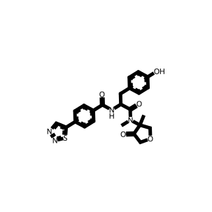 CN(C(=O)C(Cc1ccc(O)cc1)NC(=O)c1ccc(-c2cnns2)cc1)C1(C)COCC1=O